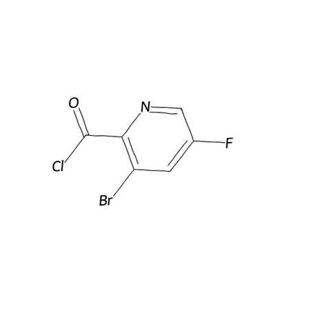 O=C(Cl)c1ncc(F)cc1Br